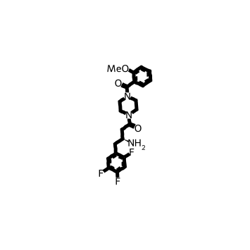 COc1ccccc1C(=O)N1CCN(C(=O)C[C@H](N)Cc2cc(F)c(F)cc2F)CC1